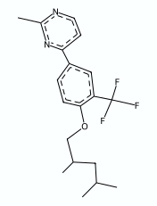 Cc1nccc(-c2ccc(OCC(C)CC(C)C)c(C(F)(F)F)c2)n1